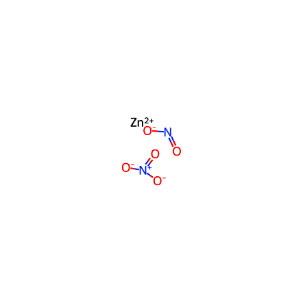 O=N[O-].O=[N+]([O-])[O-].[Zn+2]